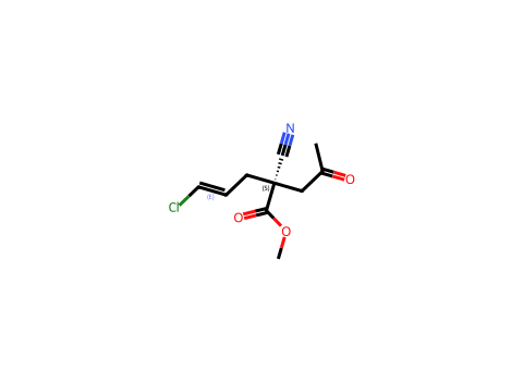 COC(=O)[C@@](C#N)(C/C=C/Cl)CC(C)=O